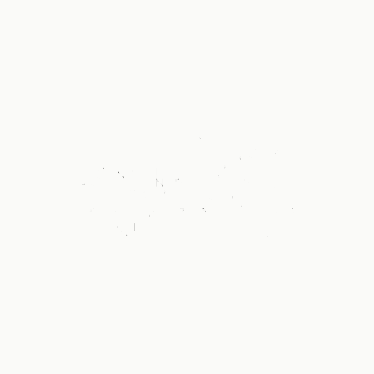 CCC(C)c1cccc(C(C)CC)c1Oc1ccc(NC(=O)c2ncccc2O)cc1